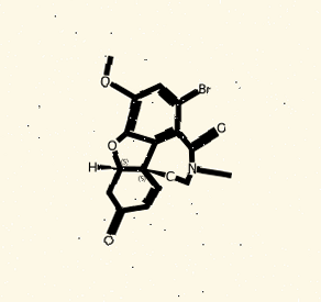 COc1cc(Br)c2c3c1O[C@H]1CC(=O)C=C[C@@]31CCN(C)C2=O